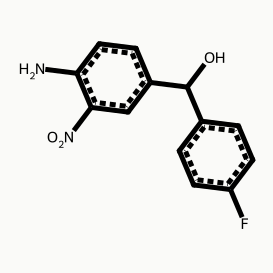 Nc1ccc(C(O)c2ccc(F)cc2)cc1[N+](=O)[O-]